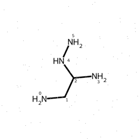 NCC(N)NN